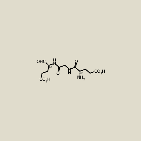 N[C@@H](CCC(=O)O)C(=O)NCC(=O)N[C@H]([C]=O)CCC(=O)O